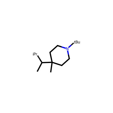 CC(C)C(C)C1(C)CCN(C(C)(C)C)CC1